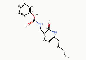 CCCCc1ccc(CNC(=O)Oc2ccccc2)c(=O)[nH]1